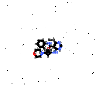 COc1ncnc(NC23CC(N4CCOCC4)(C2)C3)c1C(=O)Nc1ccccc1C(=O)O